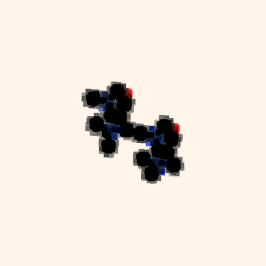 c1ccc(-c2cc(-c3ccccc3)nc(-n3c4ccc(-c5ccc(-c6nc(-c7ccccc7)nc(-c7cccc8oc9ccc(-c%10ccc%11c(c%10)c%10ccccc%10n%11-c%10nc(-c%11ccccc%11)c%11ccccc%11n%10)cc9c78)n6)cc5)cc4c4cc(-c5ccc6oc7cccc(-c8nc(-c9ccccc9)nc(-c9ccccc9)n8)c7c6c5)ccc43)n2)cc1